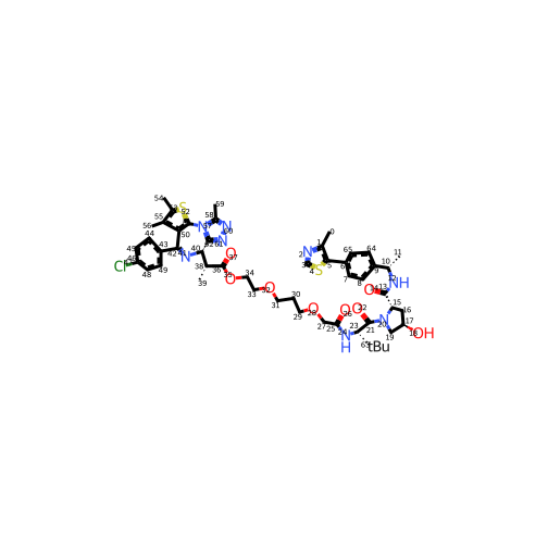 Cc1ncsc1-c1ccc([C@H](C)NC(=O)[C@@H]2C[C@@H](O)CN2C(=O)[C@@H](NC(=O)COCCCOCCOC(=O)[C@H](C)[C@@H]2N=C(c3ccc(Cl)cc3)c3c(sc(C)c3C)-n3c(C)nnc32)C(C)(C)C)cc1